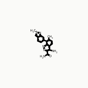 Cc1ccc2c(N)c(C(N)=O)nnc2c1-c1ccc2cn(C)nc2c1